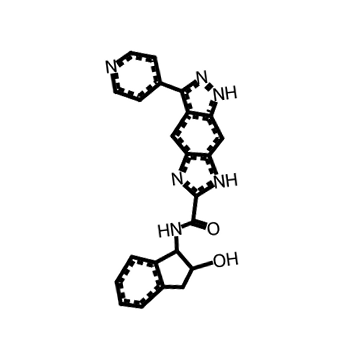 O=C(NC1c2ccccc2CC1O)c1nc2cc3c(-c4ccncc4)n[nH]c3cc2[nH]1